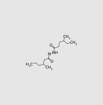 CCCC(C)CC(=O)[N]NC(=O)CCC(C)CC